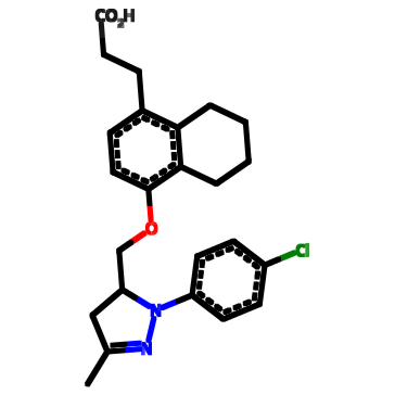 CC1=NN(c2ccc(Cl)cc2)C(COc2ccc(CCC(=O)O)c3c2CCCC3)C1